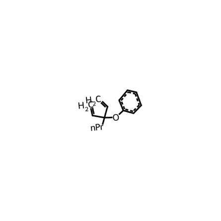 C=CC(C=C)(CCC)Oc1ccccc1